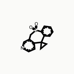 O=S1(=O)Cc2cnccc2C2(CC2)c2ccccc21